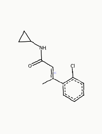 C/C(=C\C(=O)NC1CC1)c1ccccc1Cl